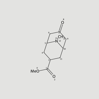 COC(=O)C1CC2CC(=O)CC(C1)N2C